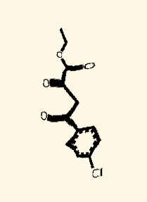 CCOC(=O)C(=O)CC(=O)c1ccc(Cl)cc1